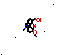 CCO[C@H]1CCC2C3Cc4ccc(CO)c5c4[C@@]2(CCN3C)[C@H]1O5